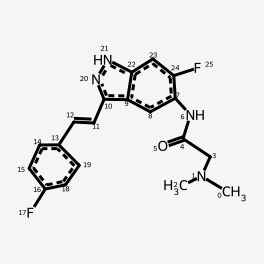 CN(C)CC(=O)Nc1cc2c(C=Cc3ccc(F)cc3)n[nH]c2cc1F